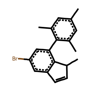 Cc1cc(C)c(-c2cc(Br)cc3c2C(C)C=C3)c(C)c1